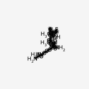 CC(C)[C@H](NC(=O)[C@@H]1CCCN1C(=O)[C@H](CC(N)=O)NC(=O)CCOCCOCCOCCNC(=O)[C@@H](N)CCCCN)C(=O)NCCCN(C(=O)CO)[C@@H](c1cc(-c2cc(F)ccc2F)cn1Cc1ccccc1)C(C)(C)C